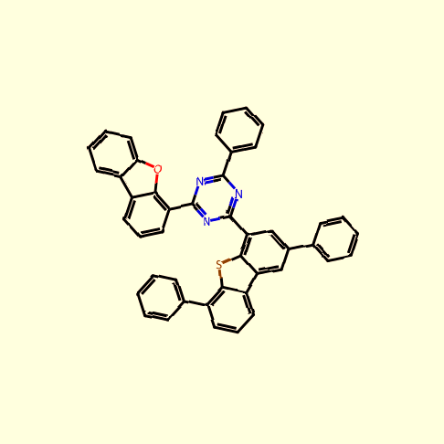 c1ccc(-c2cc(-c3nc(-c4ccccc4)nc(-c4cccc5c4oc4ccccc45)n3)c3sc4c(-c5ccccc5)cccc4c3c2)cc1